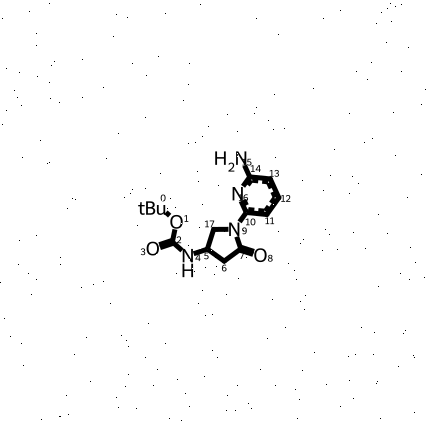 CC(C)(C)OC(=O)NC1CC(=O)N(c2cccc(N)n2)C1